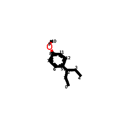 CC[C](CC)c1ccc(OC)cc1